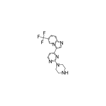 FC(F)(F)c1ccc2ncc(-c3ccnc(N4CCNCC4)n3)n2c1